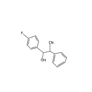 N#CC(c1ccccc1)C(O)c1ccc(F)cc1